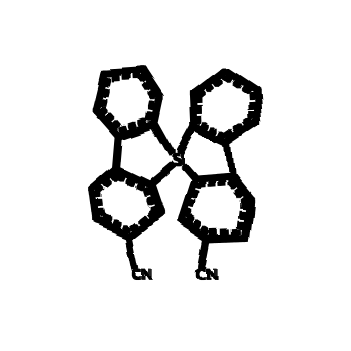 N#Cc1ccc2c(c1)[Si]1(c3ccccc3-2)c2ccccc2-c2ccc(C#N)cc21